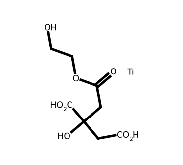 O=C(O)CC(O)(CC(=O)OCCO)C(=O)O.[Ti]